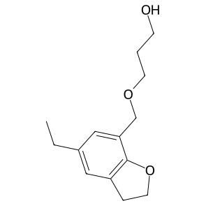 CCc1cc2c(c(COCCCO)c1)OCC2